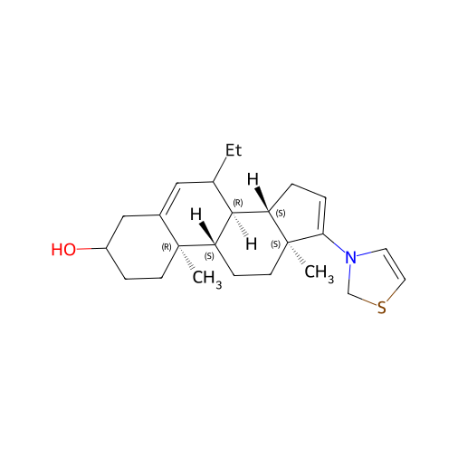 CCC1C=C2CC(O)CC[C@]2(C)[C@H]2CC[C@]3(C)C(N4C=CSC4)=CC[C@H]3[C@H]12